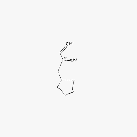 [CH]=C[C@@H](O)CC1CCCC1